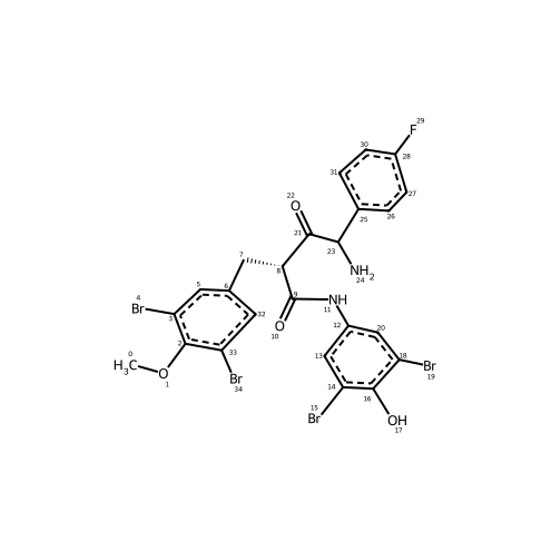 COc1c(Br)cc(C[C@@H](C(=O)Nc2cc(Br)c(O)c(Br)c2)C(=O)C(N)c2ccc(F)cc2)cc1Br